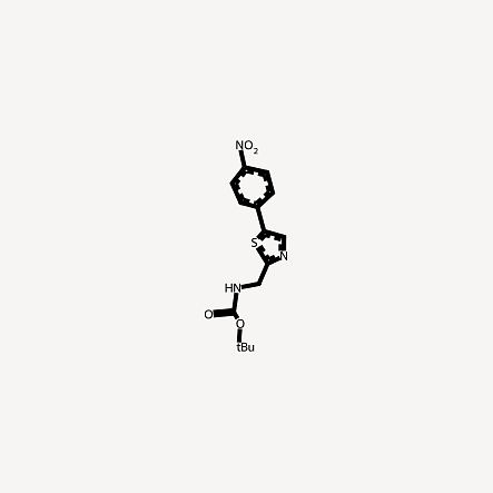 CC(C)(C)OC(=O)NCc1ncc(-c2ccc([N+](=O)[O-])cc2)s1